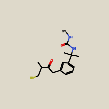 CCCNC(=O)NC(C)(C)c1cccc(CC(=O)C(C)CS)c1